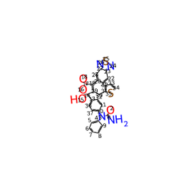 NC(=O)N(c1ccccc1)c1ccc(C2(O)OC(=O)C(c3ccc4nsnc4c3)=C2Cc2cccs2)cc1